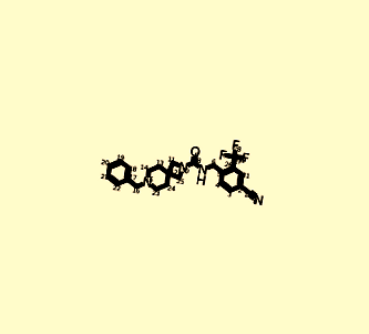 N#Cc1ccc(CNC(=O)N2CC3(CCN(Cc4ccccc4)CC3)C2)c(C(F)(F)F)c1